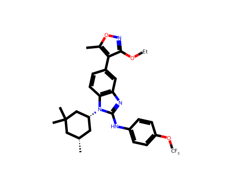 CCOc1noc(C)c1-c1ccc2c(c1)nc(Nc1ccc(OC(F)(F)F)cc1)n2[C@@H]1C[C@H](C)CC(C)(C)C1